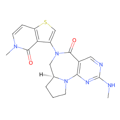 CNc1ncc2c(n1)N1CCC[C@H]1CN(c1csc3ccn(C)c(=O)c13)C2=O